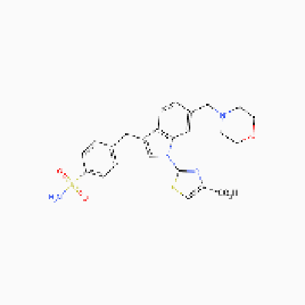 NS(=O)(=O)c1ccc(Cc2cn(-c3nc(C(=O)O)cs3)c3cc(CN4CCOCC4)ccc23)cc1